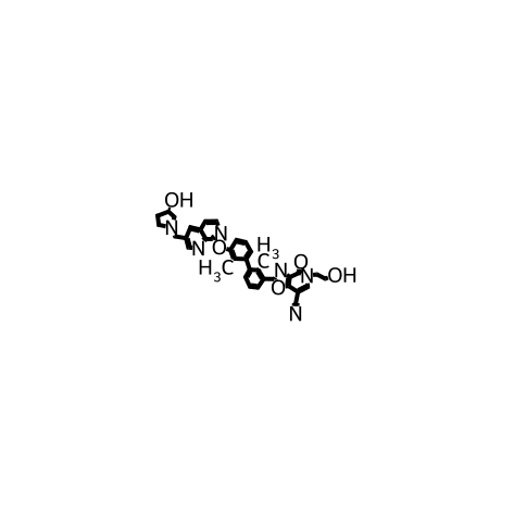 Cc1c(Oc2nccc3cc(CN4CC[C@@H](O)C4)cnc23)cccc1-c1cccc(-c2nc3c(=O)n(CCO)cc(C#N)c3o2)c1C